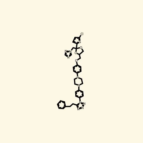 Clc1ccc(C2(Cn3cncn3)OCC(COc3ccc(N4CCN(c5ccc(-n6nnnc6CCc6ccccc6)cc5)CC4)cc3)O2)s1